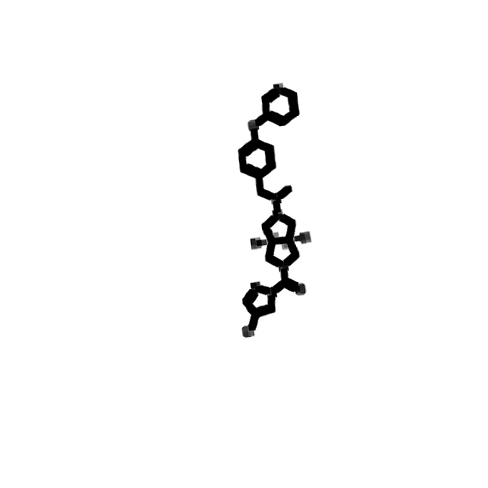 CN(Cc1ccc(Oc2cccnc2)cc1)N1C[C@H]2CN(C(=O)n3cc(Cl)cn3)C[C@H]2C1